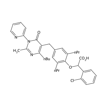 CCCCc1nc(C)n(-c2ccccn2)c(=O)c1Cc1cc(CCC)c(OC(C(=O)O)c2ccccc2Cl)c(CCC)c1